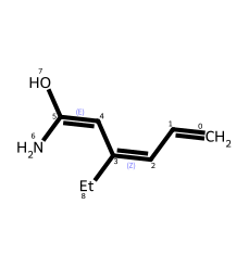 C=C/C=C(\C=C(/N)O)CC